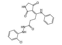 O=C(CCC(Nc1ccccc1)=C1C(=O)CNC1=O)NNc1ccccc1Cl